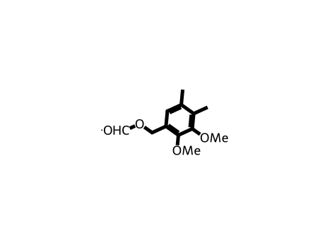 COc1c(CO[C]=O)cc(C)c(C)c1OC